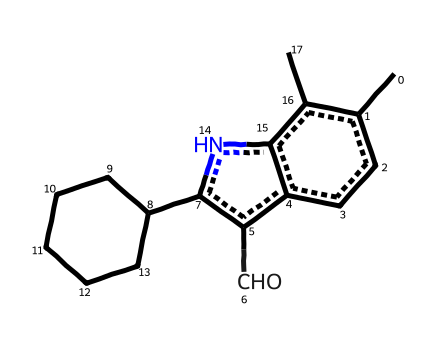 Cc1ccc2c(C=O)c(C3CCCCC3)[nH]c2c1C